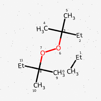 CCC.CCC(C)(C)OOC(C)(C)CC